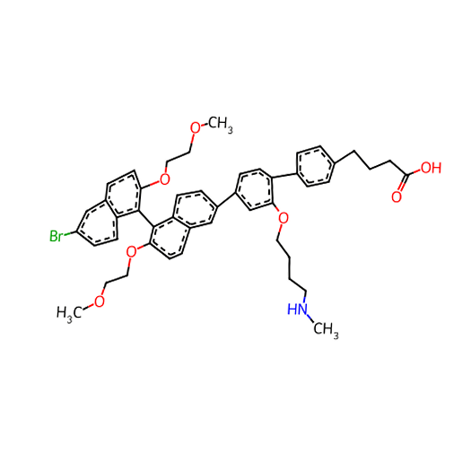 CNCCCCOc1cc(-c2ccc3c(-c4c(OCCOC)ccc5cc(Br)ccc45)c(OCCOC)ccc3c2)ccc1-c1ccc(CCCC(=O)O)cc1